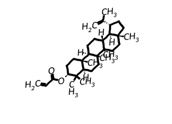 C=CC(=O)O[C@@H]1CC[C@]2(C)[C@H]3CC[C@@H]4[C@H]5[C@H](C(=C)C)CC[C@]5(C)CC[C@@]4(C)[C@]3(C)CC[C@H]2C1(C)C